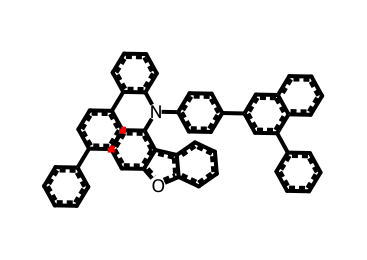 c1ccc(-c2ccc(-c3ccccc3N(c3ccc(-c4cc(-c5ccccc5)c5ccccc5c4)cc3)c3cccc4oc5ccccc5c34)cc2)cc1